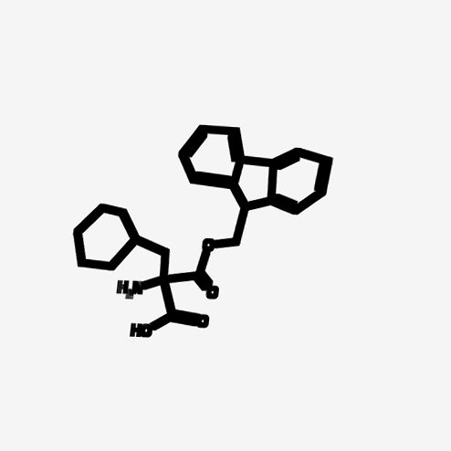 NC(CC1CCCCC1)(C(=O)O)C(=O)OCC1c2ccccc2-c2ccccc21